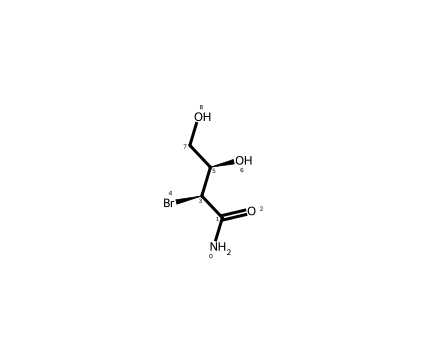 NC(=O)[C@@H](Br)[C@H](O)CO